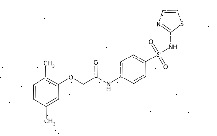 Cc1ccc(C)c(OCC(=O)Nc2ccc(S(=O)(=O)Nc3nccs3)cc2)c1